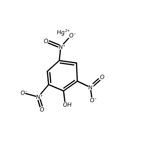 O=[N+]([O-])c1cc([N+](=O)[O-])c(O)c([N+](=O)[O-])c1.[Hg+2]